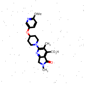 COc1ccc(OC2CCN(c3nc4c(c(C(=O)O)c3C)C(=O)N(C)C4)CC2)cn1